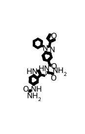 NC(=O)Nc1ccc2[nH]cc(C[C@H](NC(=O)c3ccc4c(c3)nc(-c3ccoc3)n4C3CCCCC3)C(N)=O)c2c1